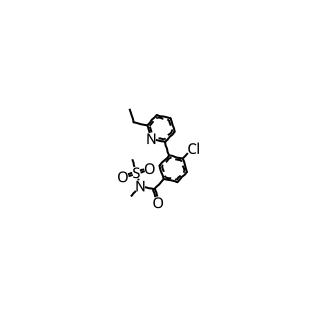 CCc1cccc(-c2cc(C(=O)N(C)S(C)(=O)=O)ccc2Cl)n1